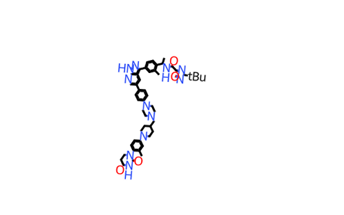 Cc1cc(-c2n[nH]c3ncc(-c4ccc(N5CCN(CC6CCN(c7ccc(N8CCC(=O)NC8=O)c(C)c7)CC6)CC5)cc4)cc23)ccc1C(C)NC(=O)c1nc(C(C)(C)C)no1